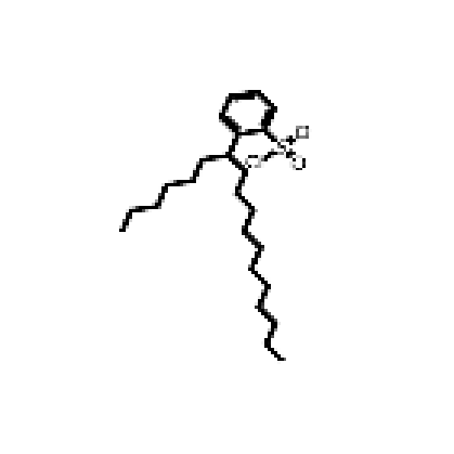 CCCCCCCCCCCC(CCCCCC)c1ccccc1S(=O)(=O)Cl